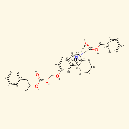 CC(Cc1ccccc1)OC(=O)OCOc1ccc2c(c1)[C@]13CCCC[C@@H]1[C@H](C2)N(C(=O)OCc1ccccc1)CC3